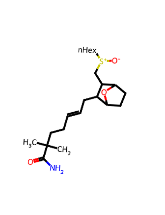 CCCCCC[S+]([O-])CC1C2CCC(O2)C1CC=CCCC(C)(C)C(N)=O